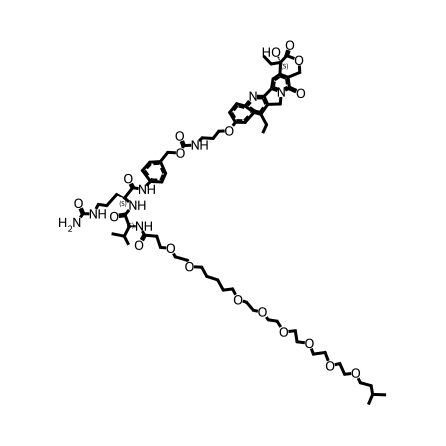 CCc1c2c(nc3ccc(OCCCNC(=O)OCc4ccc(NC(=O)[C@H](CCCNC(N)=O)NC(=O)[C@@H](NC(=O)CCOCCOCCCCCOCCOCCOCCOCCOCCOCCC(C)C)C(C)C)cc4)cc13)-c1cc3c(c(=O)n1C2)COC(=O)[C@]3(O)CC